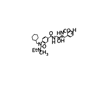 CCN(C)C1Oc2cc(C(=O)NC[C@H](O)[C@H](Cc3ccccc3)NC(=O)O)ccc2N1CC1CCCCC1